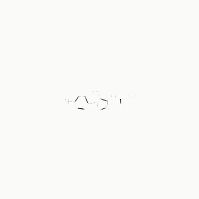 CCOC(=O)Oc1ncn2c1COc1cc([N+](=O)[O-])ccc1-2